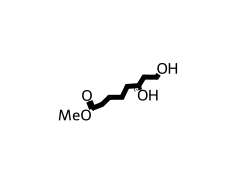 COC(=O)CCCC[C@H](O)CCO